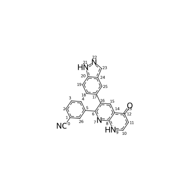 N#Cc1cccc(-c2nc3[nH]ccc(=O)c3cc2-c2ccc3[nH]ncc3c2)c1